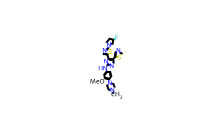 COc1cc(Nc2ncc(-c3cncs3)c(-c3cnc(N4CCC(F)C4)s3)n2)ccc1N1CCN(C)CC1